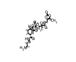 Cc1oc(=O)oc1COC(=O)C(C)(C)COS(=O)(=O)ON1C(=O)N2C[C@H]1CC[C@H]2C(=O)NOCCN